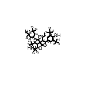 CCCC(Cc1cc(C(C)(C)C)c(O)c(C(C)(C)C)c1)C(C(=O)O)(C(=O)OC1CC(C)(C)NC(C)(C)C1)C1CC(C)(C)NC(C)(C)C1